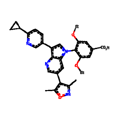 CCOc1cc(C(=O)O)cc(OCC)c1-n1cc(-c2ccc(C3CC3)nc2)c2ncc(-c3c(C)noc3C)cc21